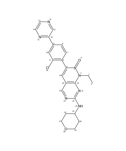 CCn1c(=O)c(-c2ccc(-c3cnccn3)cc2Cl)cc2cnc(NC3CCOCC3)nc21